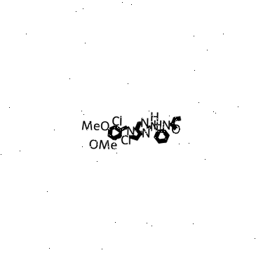 C=CC(=O)Nc1ccccc1Nc1ncc2c(ccn2Cc2c(Cl)c(OC)cc(OC)c2Cl)n1